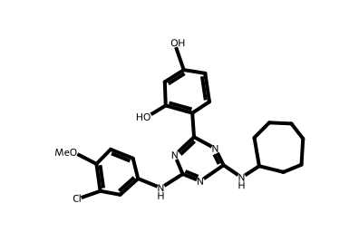 COc1ccc(Nc2nc(NC3CCCCCC3)nc(-c3ccc(O)cc3O)n2)cc1Cl